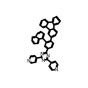 c1ccc2c(-c3cc(-c4nc(-c5ccncc5)nc(-c5ccncc5)n4)ccc3-c3ccc4c5ccccc5c5ccccc5c4c3)cccc2c1